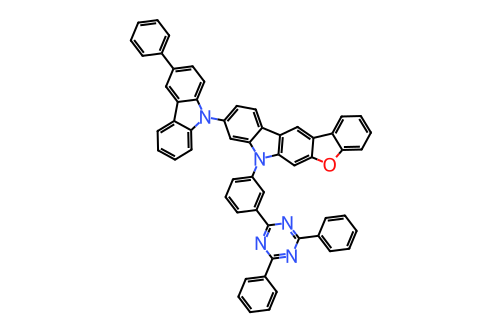 c1ccc(-c2ccc3c(c2)c2ccccc2n3-c2ccc3c4cc5c(cc4n(-c4cccc(-c6nc(-c7ccccc7)nc(-c7ccccc7)n6)c4)c3c2)oc2ccccc25)cc1